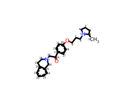 CC1CCCN1CCCOc1ccc(C(=O)CN2CCc3ccccc3C2)cc1